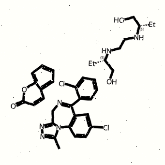 CC[C@@H](CO)NCCN[C@@H](CC)CO.Cc1nnc2n1-c1ccc(Cl)cc1C(c1ccccc1Cl)=NC2.O=c1ccc2ccccc2o1